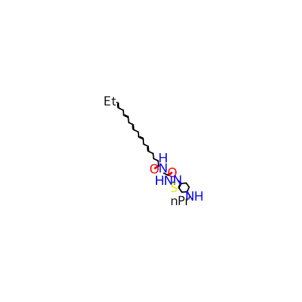 CCC=CCC=CCC=CCC=CCC=CCCCC(=O)NCC(=O)Nc1nc2c(s1)C[C@H](NCCC)CC2